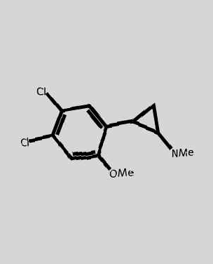 CNC1CC1c1cc(Cl)c(Cl)cc1OC